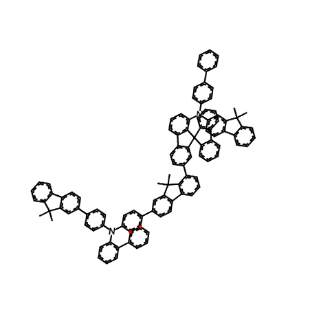 CC1(C)c2ccccc2-c2ccc(-c3ccc(N(c4ccc(-c5ccc6c(c5)C(C)(C)c5c(-c7ccc8c(c7)C7(c9ccccc9-c9ccccc97)c7c-8cccc7N(c7ccc(-c8ccccc8)cc7)c7ccc8c(c7)C(C)(C)c7ccccc7-8)cccc5-6)cc4)c4ccccc4-c4ccccc4)cc3)cc21